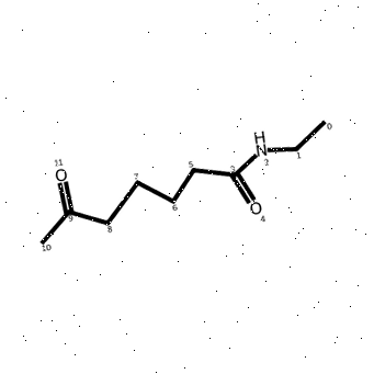 CCNC(=O)CCCCC(C)=O